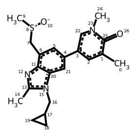 Cc1cc(-c2cc(C[S+](C)[O-])c3nc(C)n(CC4CC4)c3c2)cn(C)c1=O